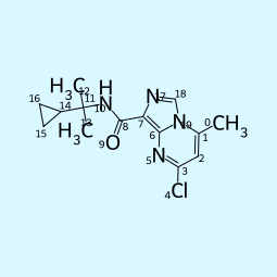 Cc1cc(Cl)nc2c(C(=O)NC(C)(C)C3CC3)ncn12